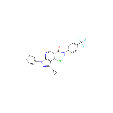 O=C(Nc1ccc(C(F)(F)F)cc1)c1cnc2c(c(C3CC3)nn2-c2ccccc2)c1Cl